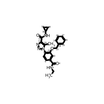 CCNC(=O)c1ccc(-n2nnc(C(=O)NC3CC3)c2C)c(OCc2ccccc2)c1